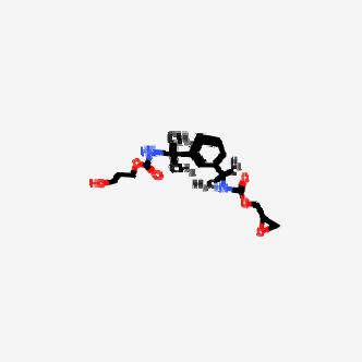 CC(C)(NC(=O)OCCCO)c1cccc(C(C)(C)NC(=O)OCC2CO2)c1